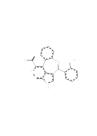 COc1ccccc1C1Nc2ccccc2-c2c(C(N)=O)nnc3[nH]cc1c23